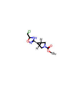 CC(C)(C)OC(=O)N1C[C@@H]2[C@H](C1)[C@H]2C1=NOC(CCl)N1